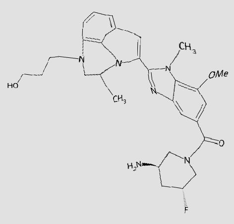 COc1cc(C(=O)N2C[C@H](N)C[C@@H](F)C2)cc2nc(-c3cc4cccc5c4n3C(C)CN5CCCO)n(C)c12